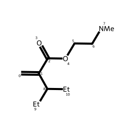 C=C(C(=O)OCCNC)C(CC)CC